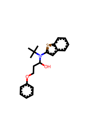 CC(C)(C)N(c1cc2ccccc2s1)C(O)CCOc1ccccc1